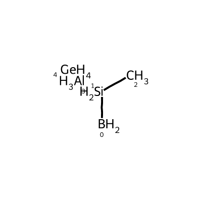 B[SiH2]C.[AlH3].[GeH4]